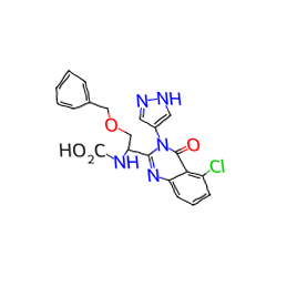 O=C(O)NC(COCc1ccccc1)c1nc2cccc(Cl)c2c(=O)n1-c1cn[nH]c1